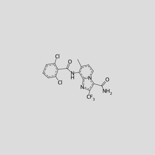 Cc1ccn2c(C(N)=O)c(C(F)(F)F)nc2c1NC(=O)c1c(Cl)cccc1Cl